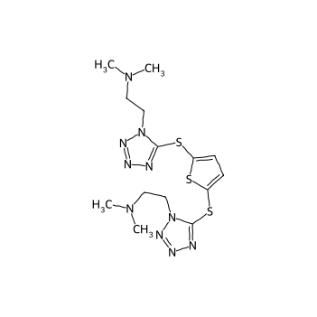 CN(C)CCn1nnnc1Sc1ccc(Sc2nnnn2CCN(C)C)s1